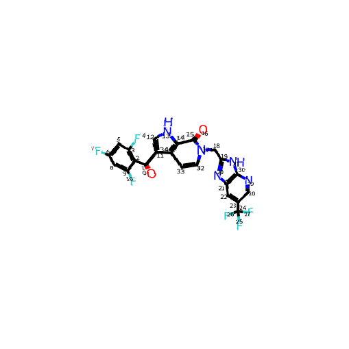 O=C(c1c(F)cc(F)cc1F)c1c[nH]c2c(=O)n(Cc3nc4cc(C(F)(F)F)cnc4[nH]3)ccc12